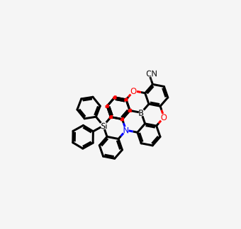 N#Cc1ccc2c3c1Oc1ccccc1B3c1c(cccc1N1c3ccccc3[Si](c3ccccc3)(c3ccccc3)c3ccccc31)O2